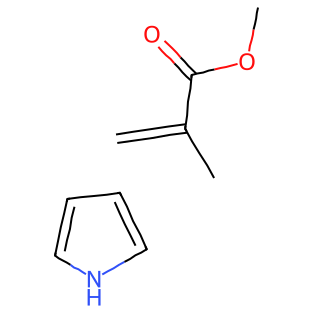 C=C(C)C(=O)OC.c1cc[nH]c1